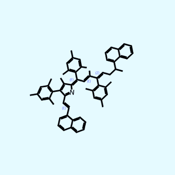 CC1=C(c2c(C)cc(C)cc2C)C(/C=C/c2cccc3ccccc23)=NC\1=C(/C=C(C)/C(=C/CC(C)c1cccc2ccccc12)c1c(C)cc(C)cc1C)c1c(C)cc(C)cc1C